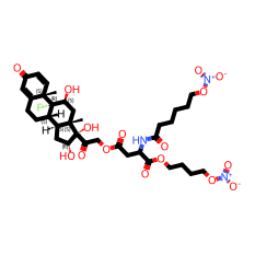 C[C@]12C=CC(=O)C=C1CC[C@H]1[C@@H]3C[C@@H](O)[C@](O)(C(=O)COC(=O)CC(NC(=O)CCCCCO[N+](=O)[O-])C(=O)OCCCCO[N+](=O)[O-])[C@@]3(C)C[C@H](O)[C@@]12F